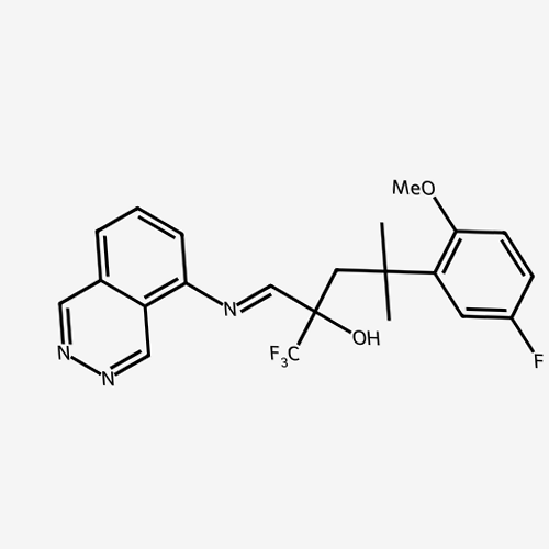 COc1ccc(F)cc1C(C)(C)CC(O)(C=Nc1cccc2cnncc12)C(F)(F)F